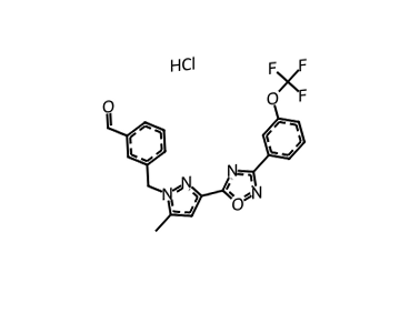 Cc1cc(-c2nc(-c3cccc(OC(F)(F)F)c3)no2)nn1Cc1cccc(C=O)c1.Cl